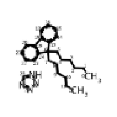 CCCCCCC1(CCCCCC)c2ccccc2-c2ccccc21.c1nnn[nH]1